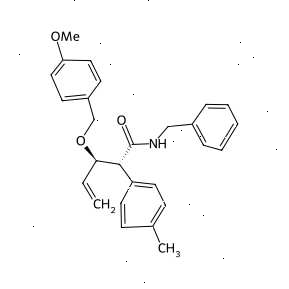 C=C[C@@H](OCc1ccc(OC)cc1)[C@H](C(=O)NCc1ccccc1)c1ccc(C)cc1